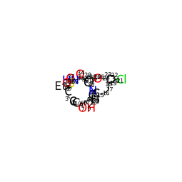 CC[C@@H]1CCCC[C@H](O)C2CC[C@H]2CN2CCCCc3cc(Cl)ccc3COc3ccc(cc32)C(=O)NS1(=O)=O